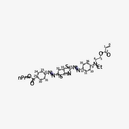 C=CC(=O)OCCN(CC)c1ccc(/N=N/c2nc3sc(/N=N/c4ccc(C(=O)OCCC)cc4)cc3s2)cc1